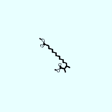 COC(=O)CCCCCCCCCCCC(C)C(C)C(=O)OC